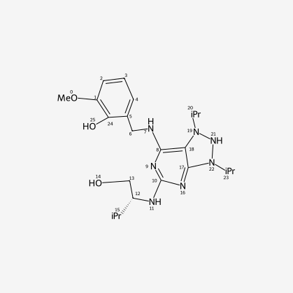 COc1cccc(CNc2nc(N[C@@H](CO)C(C)C)nc3c2N(C(C)C)NN3C(C)C)c1O